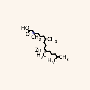 C/C(=C\C(=O)O)CCC[C@H](C)CCC[C@H](C)CCCC(C)C.[Zn]